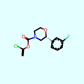 C=C(Cl)OC(=O)N1CCO[C@H](c2cccc(F)c2)C1